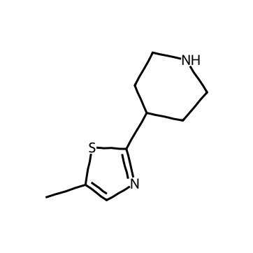 Cc1cnc(C2CCNCC2)s1